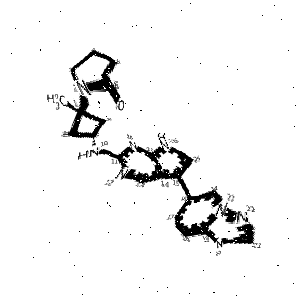 C[C@]1(N2CCCC2=O)C[C@@H](Nc2ncc3c(-c4ccc5ncnn5c4)c[nH]c3n2)C1